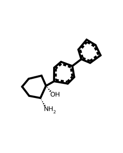 N[C@@H]1CCCC[C@@]1(O)c1ccc(-c2ccccc2)cc1